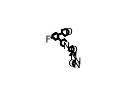 Fc1ccc(C2CCOCC2)c(C2CCN(C3COC4(C3)CN(c3nnco3)C4)CC2)c1